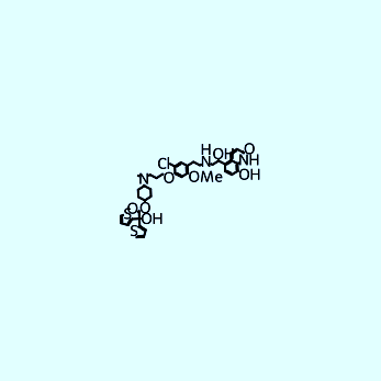 COc1cc(OCCCN(C)C2CCC(OC(=O)C(O)(c3cccs3)c3cccs3)CC2)c(Cl)cc1CCNC[C@@H](O)c1ccc(O)c2[nH]c(=O)ccc12